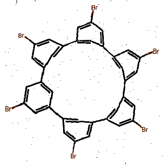 Brc1cc2cc(c1)c1cc(Br)cc(c1)c1cc(Br)cc(c1)c1cc(Br)cc(c1)c1cc(Br)cc(c1)c1cc(Br)cc2c1